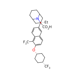 CC[C@H](c1ccc2c(C(F)(F)F)c(O[C@H]3CC[C@@H](C(F)(F)F)CC3)ccc2c1)N1C2CCCC1CC(C(=O)O)C2